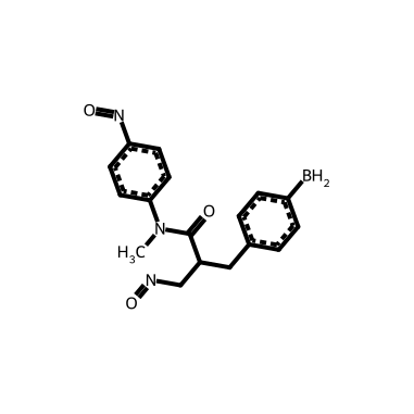 Bc1ccc(CC(CN=O)C(=O)N(C)c2ccc(N=O)cc2)cc1